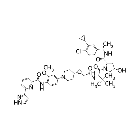 COc1cc(N2CCC(OCC(=O)N[C@H](C(=O)N3C[C@H](O)C[C@H]3C(=O)N[C@H](C)c3ccc(Cl)c(C4CC4)c3)C(C)(C)C)CC2)ccc1NC(=O)c1cccc(-c2cc[nH]n2)n1